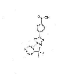 O=C(O)c1ccc(-c2nnc(-c3cnccc3C(F)(F)F)o2)cc1